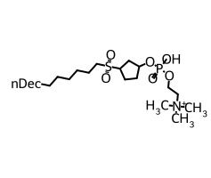 CCCCCCCCCCCCCCCCS(=O)(=O)C1CCC(OP(=O)(O)OCC[N+](C)(C)C)C1